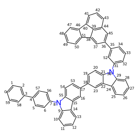 c1ccc(-c2ccc(-n3c4ccccc4c4cc(-c5ccc6c(c5)c5ccccc5n6-c5cccc(-c6cc7c8c(cccc8c6)-c6ccccc6-7)c5)ccc43)cc2)cc1